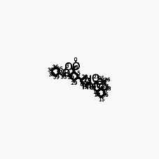 COC(=O)c1cc(-c2cnc(N(Cc3cccc(C)c3)C(=O)OC(C)(C)C)nc2)ccc1OCc1ccccc1